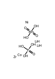 O=P(O)(O)O.[Co].[LiH].[LiH].[Ni].[O]=[Mn](=[O])([OH])[OH].[Zr]